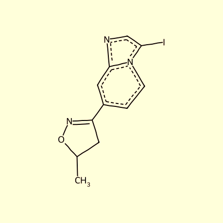 CC1CC(c2ccn3c(I)cnc3c2)=NO1